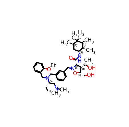 CCOc1ccccc1CN(Cc1cccc(CN2O[C@@H](CO)[C@@H]([C@H](C)O)[C@H]2C(=O)N[C@H]2C[C@@H](C)C(C)(C)[C@@H](C)[C@@H]2C)c1)[C@@H](CC(C)C)CN(C)C